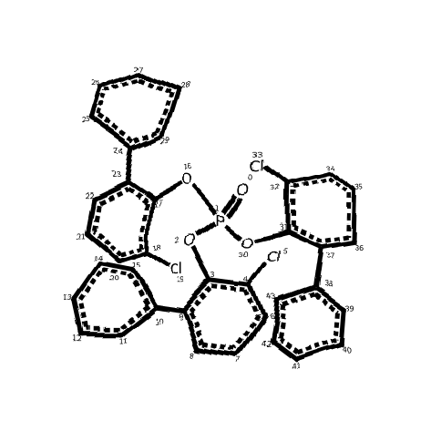 O=P(Oc1c(Cl)cccc1-c1ccccc1)(Oc1c(Cl)cccc1-c1ccccc1)Oc1c(Cl)cccc1-c1ccccc1